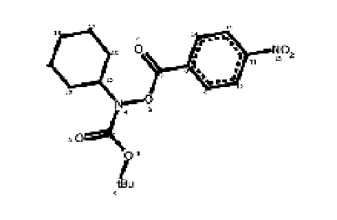 CC(C)(C)OC(=O)N(OC(=O)c1ccc([N+](=O)[O-])cc1)C1CCCCC1